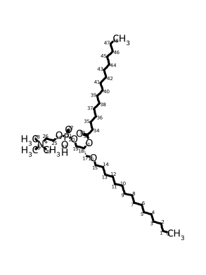 CCCCCCCCCCCCCCCCOC[C@H](COP(=O)(O)OCC[N+](C)(C)C)OC(=O)CCCCCCCCCCCCCCC